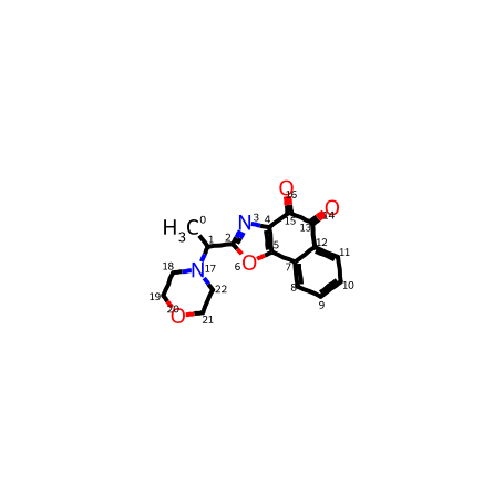 CC(c1nc2c(o1)-c1ccccc1C(=O)C2=O)N1CCOCC1